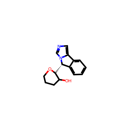 OC1CCCOC1[C@H]1c2ccccc2-c2cncn21